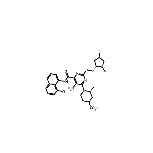 C[C@H]1CN(C(=O)O)CCN1c1nc(OC[C@@H]2C[C@@H](F)CN2C)nc(C(=O)Nc2cccc3cccc(Cl)c23)c1N